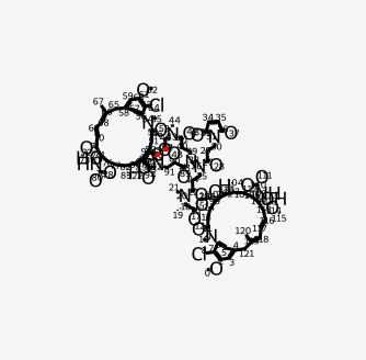 COc1cc2cc(c1Cl)N(C)C(=O)C[C@H](OC(=O)[C@H](C)N(C)C(=O)CCN(C(=O)CCN1C(=O)C=CC1=O)N(CCC(=O)N(C)[C@@H](C)C(=O)O[C@H]1CC(=O)N(C)c3cc(cc(OC)c3Cl)C/C(C)=C/C=C/[C@@H](OC)[C@@]3(O)CC(OC(=O)N3)[C@@H](C)[C@H]3O[C@@]13C)C(=O)CCN1C(=O)C=CC1=O)[C@]1(C)O[C@@H]1[C@H](C)C1C[C@@](O)(NC(=O)O1)[C@H](OC)/C=C/C=C(\C)C2